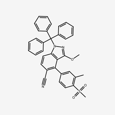 COc1nn(C(c2ccccc2)(c2ccccc2)c2ccccc2)c2ccc(C#N)c(-c3ccc(S(C)(=O)=O)c(C)c3)c12